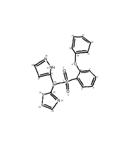 O=S(=O)(c1ccccc1Oc1ccccc1)N(c1ccn[nH]1)c1ncns1